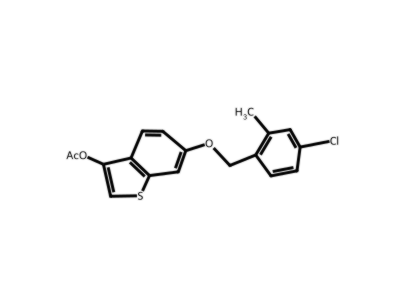 CC(=O)Oc1csc2cc(OCc3ccc(Cl)cc3C)ccc12